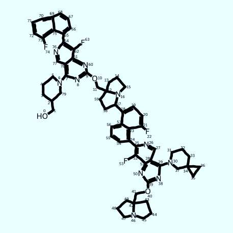 OCC1CCCN(c2nc(OCC34CCCN3C(c3ccc(F)c5c(-c6ncc7c(N8CCCC9(CC9)C8)nc(OCC89CCCN8CCC9)nc7c6F)cccc35)CC4)nc3c(F)c(-c4cccc5cccc(F)c45)ncc23)C1